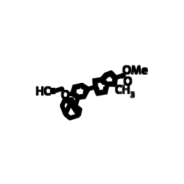 C#CCOc1ccc(-c2ccc3c(C)c(C(=O)OC)ccc3c2)cc1C12CC3CC(CC(C3)C1)C2